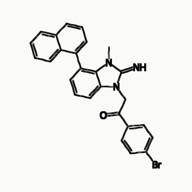 Cn1c(=N)n(CC(=O)c2ccc(Br)cc2)c2cccc(-c3cccc4ccccc34)c21